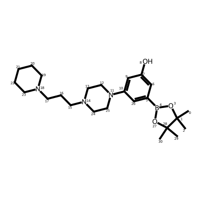 CC1(C)OB(c2cc(O)cc(N3CCN(CCCN4CCCCC4)CC3)c2)OC1(C)C